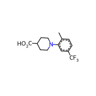 Cc1ccc(C(F)(F)F)cc1N1CCC(C(=O)O)CC1